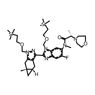 C[C@@H](C(=O)N(C)c1cc2c(cc1F)nc(-c1nn(COCC[Si](C)(C)C)c3c1C[C@@H]1C[C@]1(C)C3)n2COCC[Si](C)(C)C)N1CCOCC1